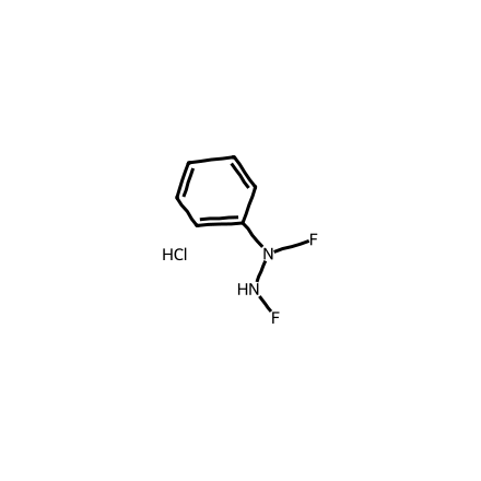 Cl.FNN(F)c1ccccc1